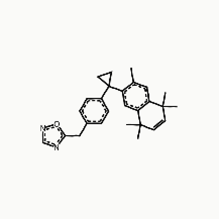 Cc1cc2c(cc1C1(c3ccc(Cc4ncno4)cc3)CC1)C(C)(C)C=CC2(C)C